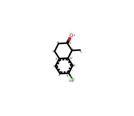 CC1C(=O)CCc2ccc(F)cc21